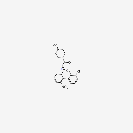 CC(=O)N1CCN(C(=O)/C=C/c2cc[c]c([N+](=O)[O-])c2-c2cccc(Cl)c2Cl)CC1